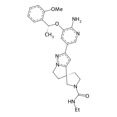 CCNC(=O)N1CC[C@@]2(CCn3nc(-c4cnc(N)c(O[C@H](C)c5ccccc5OC)c4)cc32)C1